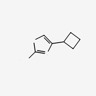 CCOC(=O)c1nc(C2CCC2)cs1